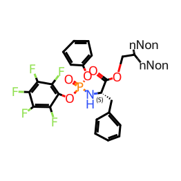 CCCCCCCCCC(CCCCCCCCC)COC(=O)[C@H](Cc1ccccc1)NP(=O)(Oc1ccccc1)Oc1c(F)c(F)c(F)c(F)c1F